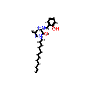 CCCCCCCCCCCCNC(=O)[C@H](CC(C)C)NCc1ccccc1O